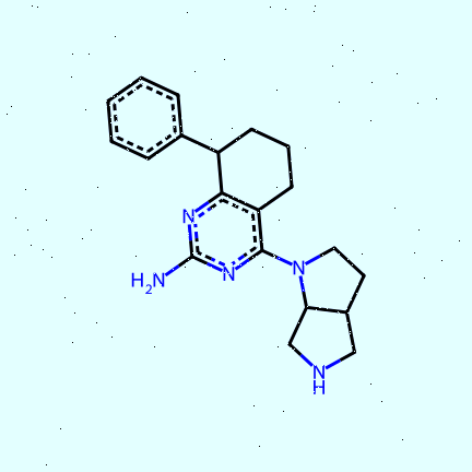 Nc1nc2c(c(N3CCC4CNCC43)n1)CCCC2c1ccccc1